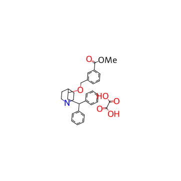 COC(=O)c1cccc(COC2C3CCN(CC3)C2C(c2ccccc2)c2ccccc2)c1.O=C(O)C(=O)O